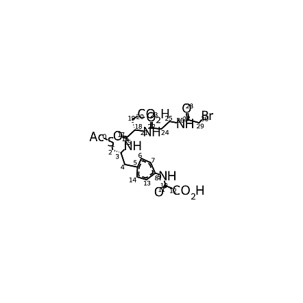 CC(=O)SC[C@@H](Cc1ccc(NC(=O)C(=O)O)cc1)NC(=O)[C@H](CC(=O)O)NC(=O)CCNC(=O)CBr